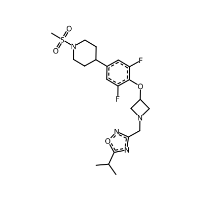 CC(C)c1nc(CN2CC(Oc3c(F)cc(C4CCN(S(C)(=O)=O)CC4)cc3F)C2)no1